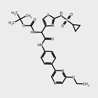 CCOc1cncc(-c2ccc(NC(=O)C(NC(=O)OC(C)(C)C)c3csc(NS(=O)(=O)C4CC4)n3)cc2)n1